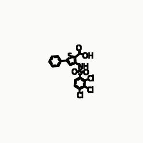 O=C(O)c1sc(-c2ccccc2)cc1NS(=O)(=O)c1ccc(Cl)c(Cl)c1Cl